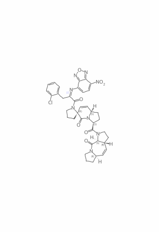 O=C([C@@H]1CC[C@H]2C=C[C@]3(CCCN3C(=O)/C(Cc3ccccc3Cl)=N\c3ccc([N+](=O)[O-])c4nonc34)C(=O)N21)N1CC[C@@H]2C=C[C@H]3CCCN3C(=O)[C@H]21